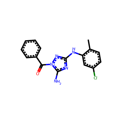 Cc1ccc(Cl)cc1Nc1nc(N)n(C(=O)c2ccccc2)n1